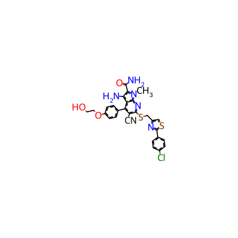 Cn1c(C(N)=O)c(N)c2c(-c3ccc(OCCO)cc3)c(C#N)c(SCc3csc(-c4ccc(Cl)cc4)n3)nc21